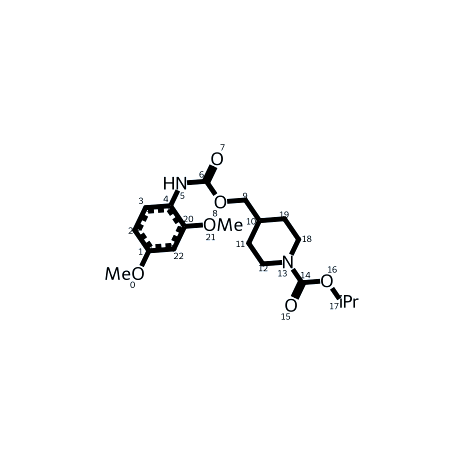 COc1ccc(NC(=O)OCC2CCN(C(=O)OC(C)C)CC2)c(OC)c1